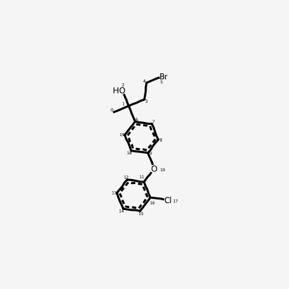 CC(O)(CCBr)c1ccc(Oc2ccccc2Cl)cc1